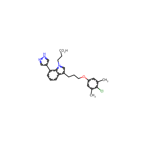 Cc1cc(OCCCc2cn(CCC(=O)O)c3c(-c4cn[nH]c4)cccc23)cc(C)c1Cl